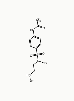 CC(C)NCCN(C(C)C)S(=O)(=O)c1ccc(NC(=O)C(F)(F)F)cc1